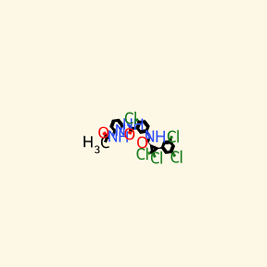 CC(=O)Nc1cccc(NC(=O)c2cc(NC(=O)[C@@H]3[C@@H](c4cc(Cl)cc(Cl)c4)C3(Cl)Cl)ccc2Cl)n1